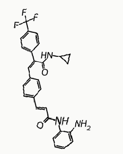 Nc1ccccc1NC(=O)C=Cc1ccc(C=C(C(=O)NC2CC2)c2ccc(C(F)(F)F)cc2)cc1